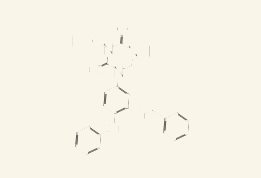 CN1C(=O)NCN(c2ccc(Oc3ccccc3)c(OCc3ccccc3)c2)C1=O